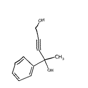 CC(O)(C#CCO)c1ccccc1